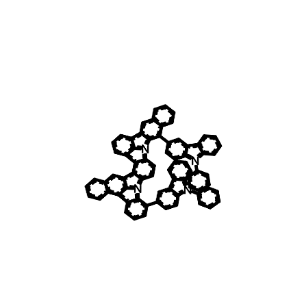 c1ccc(-n2c3ccccc3c3cc(-c4c5ccccc5cc5c6cccc7c8c9c%10cc%11ccccc%11c%11c%12cccc(-c%13ccc%14c(c%13)c%13ccccc%13n%14-c%13ccccc%13)c%12n(c9ccc8n(c45)c67)c%10%11)ccc32)cc1